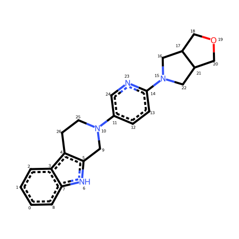 c1ccc2c3c([nH]c2c1)CN(c1ccc(N2CC4COCC4C2)nc1)CC3